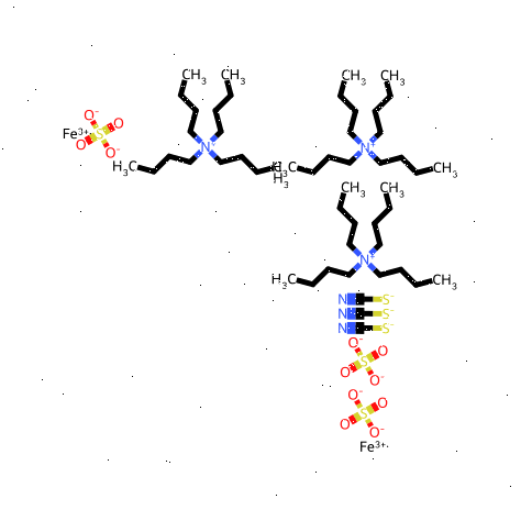 CCCC[N+](CCCC)(CCCC)CCCC.CCCC[N+](CCCC)(CCCC)CCCC.CCCC[N+](CCCC)(CCCC)CCCC.N#C[S-].N#C[S-].N#C[S-].O=S(=O)([O-])[O-].O=S(=O)([O-])[O-].O=S(=O)([O-])[O-].[Fe+3].[Fe+3]